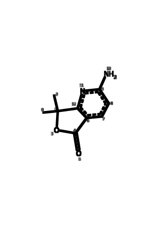 CC1(C)OC(=O)c2ccc(N)nc21